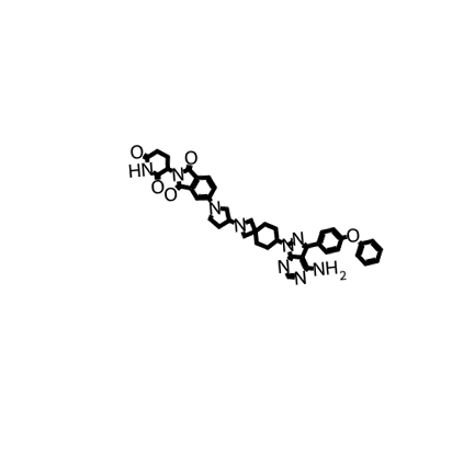 Nc1ncnc2c1c(-c1ccc(Oc3ccccc3)cc1)nn2C1CCC2(CC1)CN(C1CCN(c3ccc4c(c3)C(=O)N(C3CCC(=O)NC3=O)C4=O)C1)C2